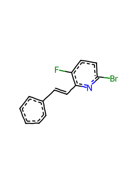 Fc1ccc(Br)nc1/C=C/c1ccccc1